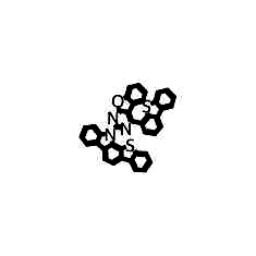 c1ccc2c(c1)oc1nc(-n3c4ccccc4c4ccc5c6ccccc6sc5c43)nc(-c3cccc4c3sc3ccccc34)c12